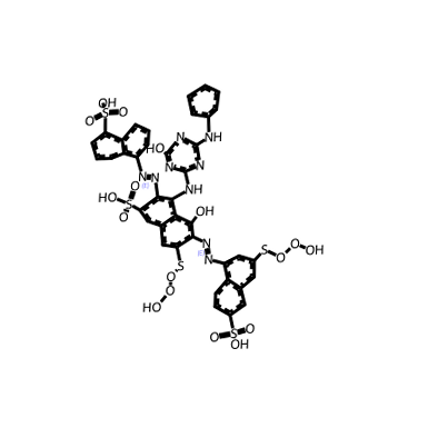 O=S(=O)(O)c1ccc2c(/N=N/c3c(SOOO)cc4cc(S(=O)(=O)O)c(/N=N/c5cccc6c(S(=O)(=O)O)cccc56)c(Nc5nc(O)nc(Nc6ccccc6)n5)c4c3O)cc(SOOO)cc2c1